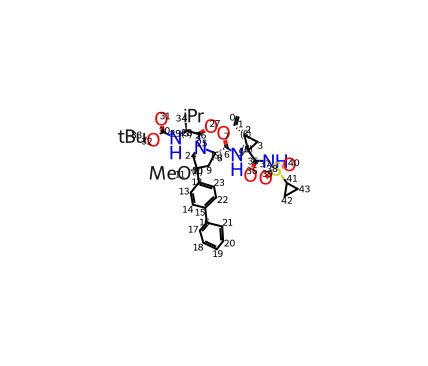 C=C[C@@H]1C[C@@]1(NC(=O)[C@@H]1C[C@@](OC)(c2ccc(-c3ccccc3)cc2)CN1C(=O)[C@@H](NC(=O)OC(C)(C)C)C(C)C)C(=O)NS(=O)(=O)C1CC1